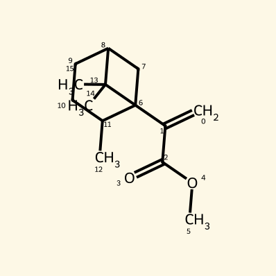 C=C(C(=O)OC)C12CC(CCC1C)C2(C)C